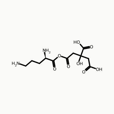 NCCC[C@@H](N)C(=O)OC(=O)CC(O)(CC(=O)O)C(=O)O